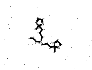 CCCN(CCCC1(C)N=CC=N1)CCCC1(C)N=CC=N1